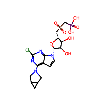 O=P(O)(O)CS(=O)(=O)C[C@H]1O[C@@H](n2ccc3c(N4CC5CC5C4)nc(Cl)nc32)[C@H](O)[C@@H]1O